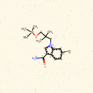 CC(C)(CO[Si](C)(C)C(C)(C)C)Cn1cc(C(N)=O)c2ccc(Br)cc21